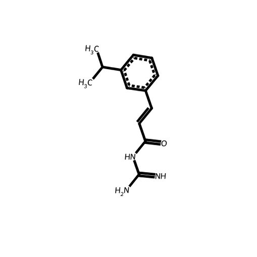 CC(C)c1cccc(C=CC(=O)NC(=N)N)c1